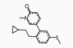 CSc1ccc(CCC2CC2)c(-c2ccc(=O)n(C)c2)c1